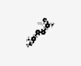 Cc1c(-c2nc3cc(CN4CC(N(C)C)C4)c(OC(F)F)cc3o2)cccc1-c1cccc(-c2nc3cc(CN4CCC[C@H]4C(=O)O)c(OC(F)F)cc3o2)c1C